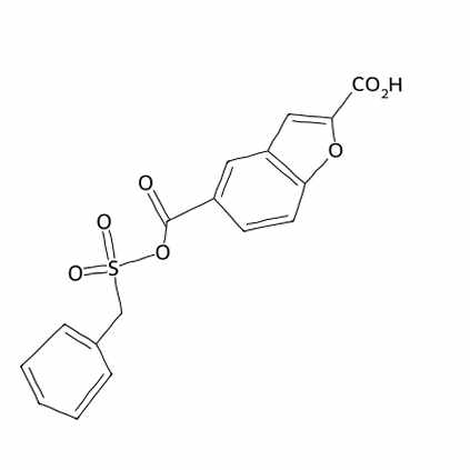 O=C(OS(=O)(=O)Cc1ccccc1)c1ccc2oc(C(=O)O)cc2c1